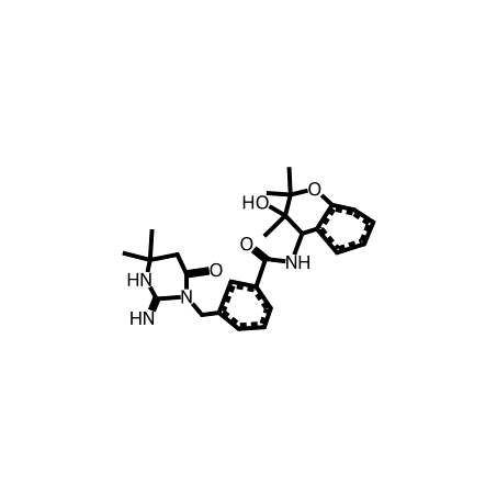 CC1(C)CC(=O)N(Cc2cccc(C(=O)NC3c4ccccc4OC(C)(C)C3(C)O)c2)C(=N)N1